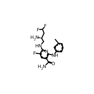 Cc1cccc(Nc2nc(NC[C@@H](N)CC(F)F)c(F)cc2C(N)=O)c1